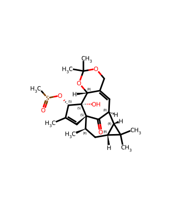 CC1=C[C@]23C(=O)[C@@H](C=C4COC(C)(C)O[C@H]4[C@]2(O)[C@H]1OS(C)=O)[C@H]1[C@@H](C[C@H]3C)C1(C)C